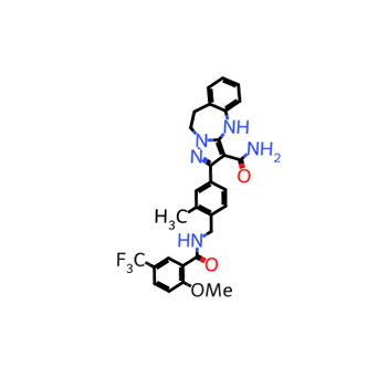 COc1ccc(C(F)(F)F)cc1C(=O)NCc1ccc(-c2nn3c(c2C(N)=O)Nc2ccccc2CC3)cc1C